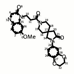 COc1ccc2ncc(=O)n(CCC(=O)N3CCC4(CC3)CC(=O)N(c3ccc5c(c3)OCCO5)C4)c2c1